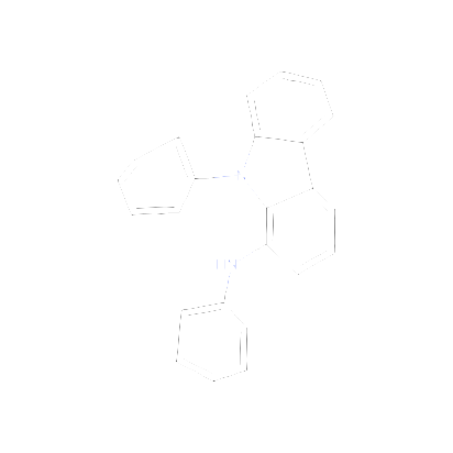 c1ccc(Nc2cccc3c4ccccc4n(-c4ccccc4)c23)cc1